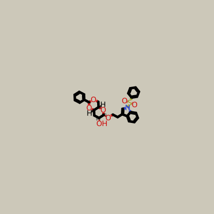 O=S(=O)(c1ccccc1)n1cc(CCO[C@@H]2O[C@@H]3COC(c4ccccc4)O[C@H]3C[C@H]2O)c2ccccc21